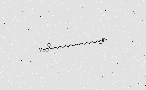 COC(=O)CCCCCC[CH]CCCCCCCCCCCSC(C)C